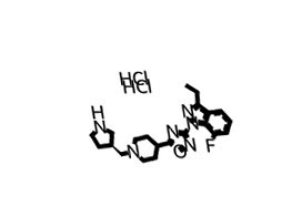 CCc1nn(-c2noc(C3CCN(C[C@H]4CCNC4)CC3)n2)c2c(F)cccc12.Cl.Cl